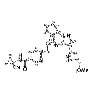 COCc1cc(-c2nnc3c4ccccc4c(OCc4ccc(C(=O)NC5(C#N)CC5)cn4)nn23)no1